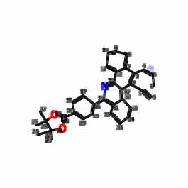 C#Cc1c(/C=C\C)c2ccccc2c2nc(-c3ccc(B4OC(C)(C)C(C)(C)O4)cc3)c3ccccc3c12